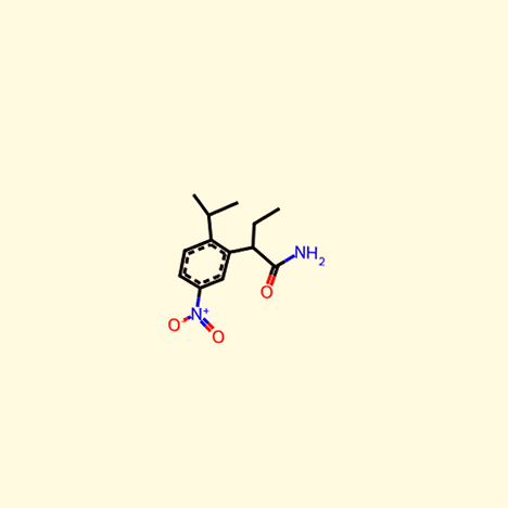 CCC(C(N)=O)c1cc([N+](=O)[O-])ccc1C(C)C